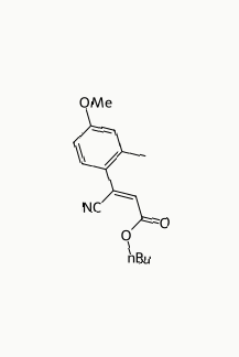 CCCCOC(=O)C=C(C#N)c1ccc(OC)cc1C